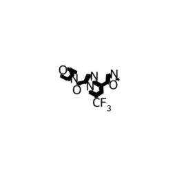 O=C(c1cnc2c(-c3cnco3)cc(C(F)(F)F)cn12)N1CC2CC1CO2